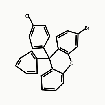 Clc1ccc(C2(c3ccccc3)c3ccccc3Oc3cc(Br)ccc32)cc1